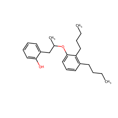 CCCCc1cccc(OC(C)Cc2ccccc2O)c1CCCC